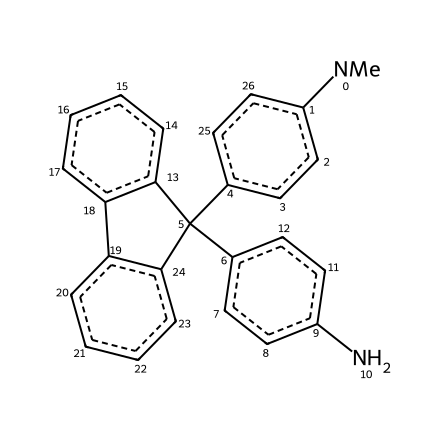 CNc1ccc(C2(c3ccc(N)cc3)c3ccccc3-c3ccccc32)cc1